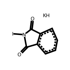 O=C1c2ccccc2C(=O)N1I.[KH]